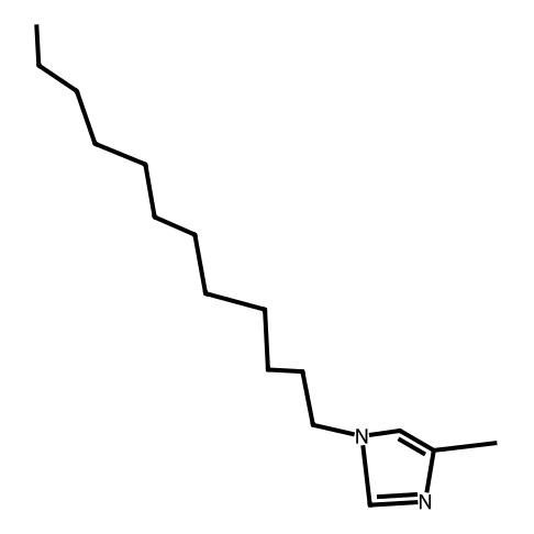 CCCCCCCCCCCCn1cnc(C)c1